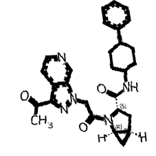 CC(=O)c1nn(CC(=O)N2[C@@H]3C[C@@H]3C[C@H]2C(=O)NC2CCC(c3ccccc3)CC2)c2cnccc12